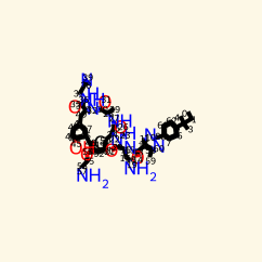 CCC(C)(C)c1ccc(-c2ncc(C(=O)NC(CCN)C(=O)N(C)C3C(=O)NC(C)C(=O)NC(C(=O)NCC#N)Cc4ccc(O)c(c4)-c4cc3ccc4OCCN)c(C)n2)cc1